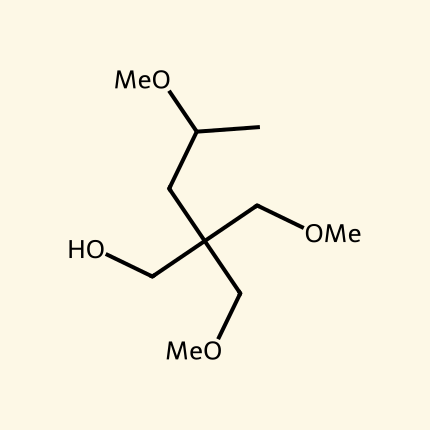 COCC(CO)(COC)CC(C)OC